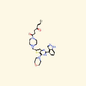 CC/C=C/C(=O)CCC(=O)N1CCN(Cc2cc3nc(-c4cccc5[nH]ncc45)nc(N4CCOCC4)c3s2)CC1